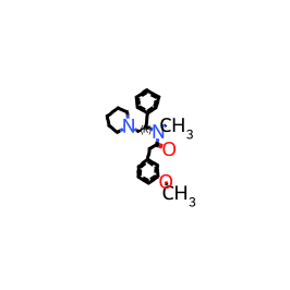 COc1cccc(CC(=O)N(C)[C@@H](CN2CCCCC2)c2ccccc2)c1